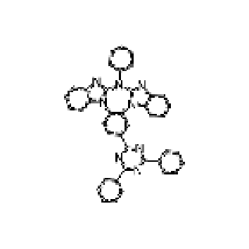 c1ccc(-c2nc(-c3ccccc3)nc(-c3ccc4c(c3)n3c5ccccc5nc3n(-c3ccccc3)c3nc5ccccc5n43)n2)cc1